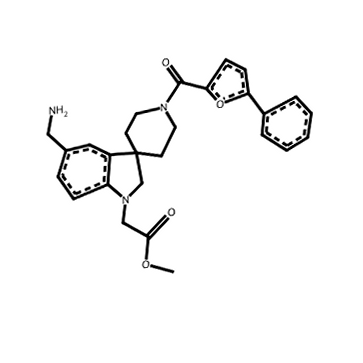 COC(=O)CN1CC2(CCN(C(=O)c3ccc(-c4ccccc4)o3)CC2)c2cc(CN)ccc21